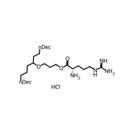 CCCCCCCCCCCCCC(CCCCCCCCCCCC)OCCCOC(=O)[C@@H](N)CCCNC(=N)N.Cl